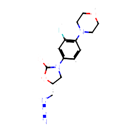 [N-]=[N+]=NC[C@H]1CN(c2ccc(N3CCOCC3)c(F)c2)C(O)O1